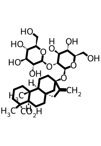 C=C1C[C@]23CC[C@@H]4[C@](C)(CCC[C@@]4(C)C(=O)O)[C@H]2CC[C@@]1(O[C@@H]1O[C@H](CO)[C@@H](O)[C@H](O)[C@H]1O[C@@H]1O[C@H](CO)[C@@H](O)[C@H](O)[C@H]1O)C3